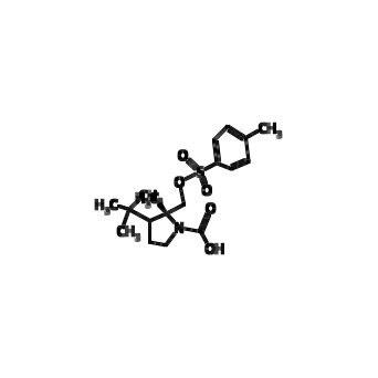 Cc1ccc(S(=O)(=O)OC[C@@]2(C)C(C(C)(C)C)CCN2C(=O)O)cc1